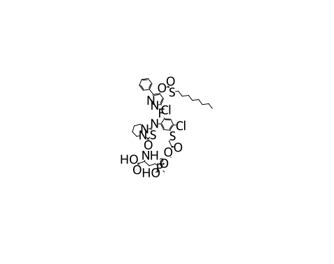 CCCCCCCCSC(=O)Oc1cc(Cl)nnc1-c1ccccc1.COC(=O)CSc1cc(/N=c2\sc(=O)n3n2CCCC3)c(F)cc1Cl.CP(=O)(O)CCC(N)C(=O)O